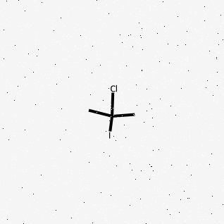 CC(C)(Cl)I